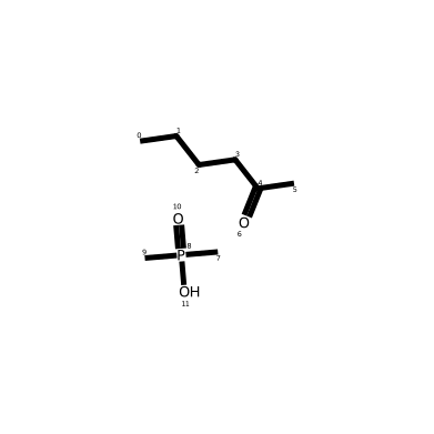 CCCCC(C)=O.CP(C)(=O)O